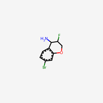 NC1c2ccc(Br)cc2OCC1F